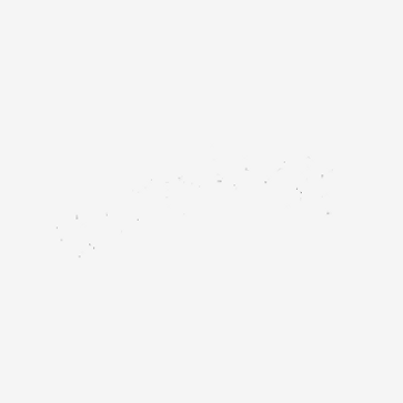 COc1cc(OCc2ccccn2)ccc1C=CC(=O)CC(=O)C=Cc1c(C)cc(C)n1C